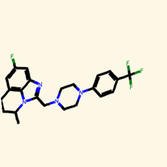 CC1CCc2cc(F)cc3nc(CN4CCN(c5ccc(C(F)(F)F)cc5)CC4)n1c23